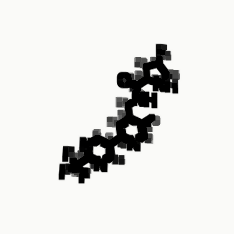 Cc1cnc(-c2cnc(C(F)(F)F)nc2)cc1CNC(=O)C1CC(F)CN1